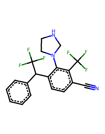 N#Cc1ccc(C(c2ccccc2)C(F)(F)F)c(N2CCNC2)c1C(F)(F)F